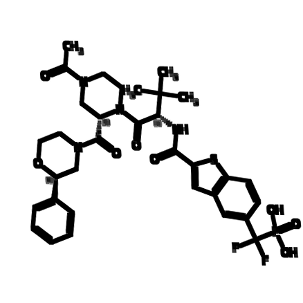 CC(=O)N1CCN(C(=O)[C@@H](NC(=O)c2cc3cc(C(F)(F)P(=O)(O)O)ccc3s2)C(C)(C)C)[C@H](C(=O)N2CCO[C@H](c3ccccc3)C2)C1